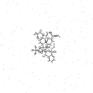 CCCS(=O)(=O)c1ccccc1C(C)NC(=O)C(Nc1ccc2c(N)nccc2c1)(OC(=O)C(F)(F)F)c1ccc(OC(C)C)c(OCC)c1